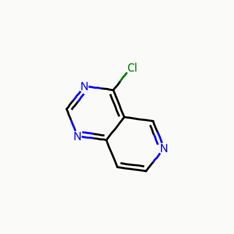 Clc1ncnc2ccncc12